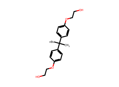 CCCCC(C)(c1ccc(OCCO)cc1)c1ccc(OCCO)cc1